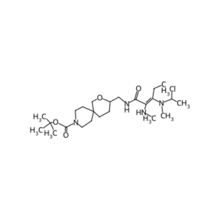 CC/C(=C(/NC)C(=O)NCC1CCC2(CCN(C(=O)OC(C)(C)C)CC2)CO1)N(C)C(C)Cl